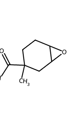 CC1(C(=O)I)CCC2OC2C1